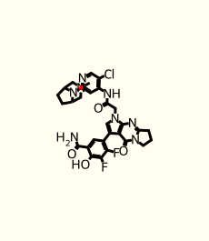 CN1CC2CCC(C1)N2c1cc(NC(=O)Cn2cc(-c3cc(C(N)=O)c(O)c(F)c3F)c3c(=O)n4c(nc32)CCC4)c(Cl)cn1